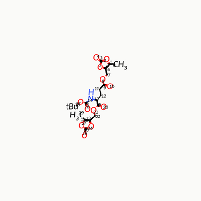 Cc1oc(=O)oc1COC(=O)CC[C@H](NC(=O)OC(C)(C)C)C(=O)OCc1oc(=O)oc1C